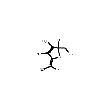 CC1=C(C#N)C(=C(C#N)C#N)OC1(C)CC(F)(F)F